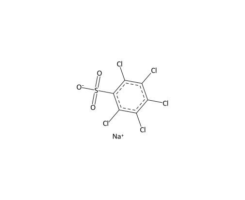 O=S(=O)([O-])c1c(Cl)c(Cl)c(Cl)c(Cl)c1Cl.[Na+]